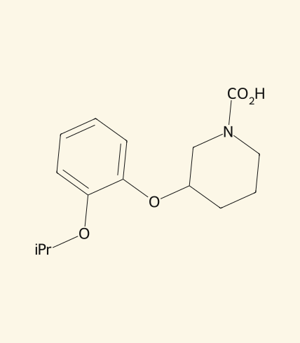 CC(C)Oc1ccccc1OC1CCCN(C(=O)O)C1